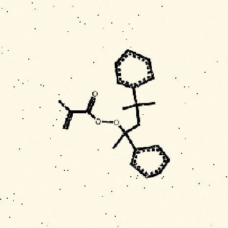 C=C(C)C(=O)OOC(C)(CC(C)(C)c1ccccc1)c1ccccc1